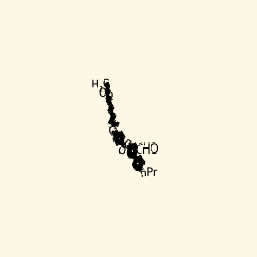 C=CC(=O)OCCCCCCOc1ccc(C(=O)Oc2ccc(-c3ccc(CCC)cc3)c(C=O)c2)cc1